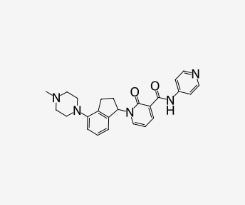 CN1CCN(c2cccc3c2CCC3n2cccc(C(=O)Nc3ccncc3)c2=O)CC1